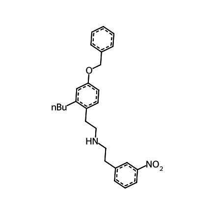 CCCCc1cc(OCc2ccccc2)ccc1CCNCCc1cccc([N+](=O)[O-])c1